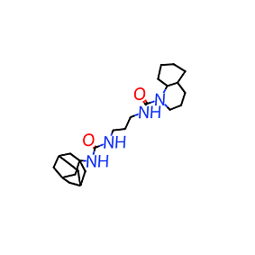 O=C(NCCCNC(=O)N1CCCC2CCCCC21)NC12CC3CC(CC(C3)C1)C2